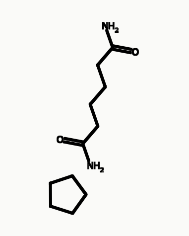 C1CCCC1.NC(=O)CCCCC(N)=O